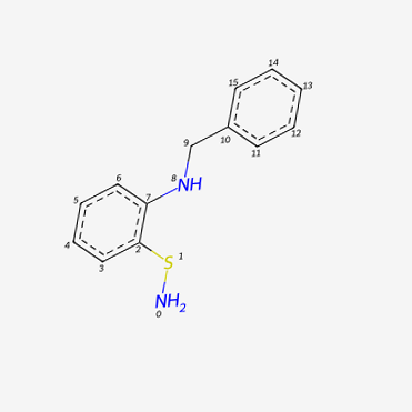 NSc1ccccc1NCc1ccccc1